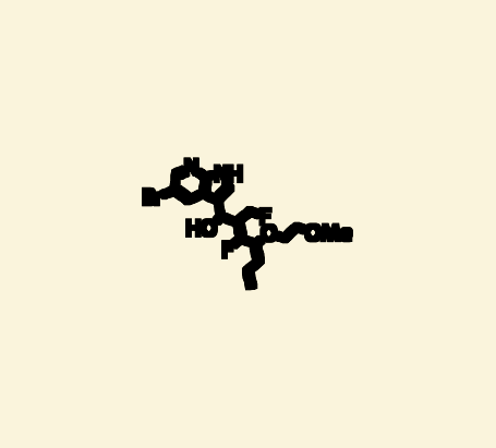 C=C/C=C(OCCOC)\C(F)=C(/CF)C(O)c1c[nH]c2ncc(Br)cc12